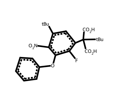 CC(C)(C)c1cc(C(C(=O)O)(C(=O)O)C(C)(C)C)c(F)c(Oc2ccccc2)c1[N+](=O)[O-]